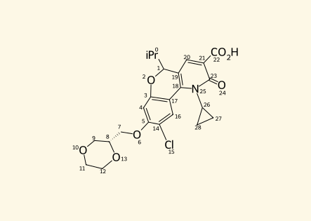 CC(C)C1Oc2cc(OC[C@H]3COCCO3)c(Cl)cc2-c2c1cc(C(=O)O)c(=O)n2C1CC1